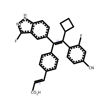 N#Cc1ccc(/C(=C(\c2ccc(/C=C/C(=O)O)cc2)c2ccc3[nH]nc(F)c3c2)C2CCC2)c(F)c1